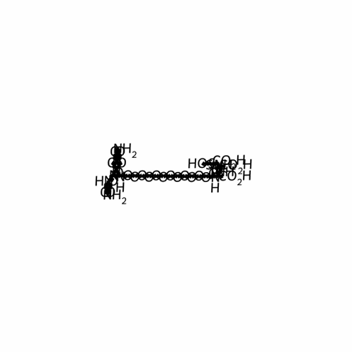 NS(=O)(=O)c1ccc(NC(=O)CN(CCN2CC(=O)N(c3ccc(S(N)(=O)=O)cc3)C(=O)C2)CC(=O)NCCOCCOCCOCCOCCOCCOCCOCCOCCOCCOCCOCCOCCC(=O)N[C@@H](CC(=O)O)C(=O)N[C@@H](CC(=O)O)C(=O)N[C@@H](CSSCCO)C(=O)O)cc1